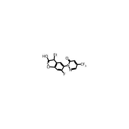 CCC(C(O)=S)c1cc(-n2ncc(C(F)(F)F)cc2=O)c(F)cc1Cl